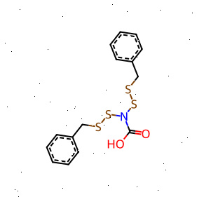 O=C(O)N(SSCc1ccccc1)SSCc1ccccc1